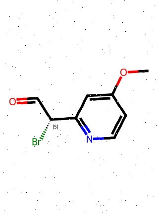 COc1ccnc([C@H](Br)C=O)c1